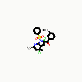 CC1(Cl)C=C(C(F)(F)F)N=C2C1=CC(Cl)(C(=O)c1cccc(C(=O)O)c1)N2S(=O)(=O)c1ccccc1